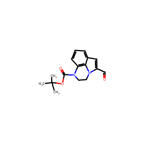 CC(C)(C)OC(=O)N1CCn2c(C=O)cc3cccc1c32